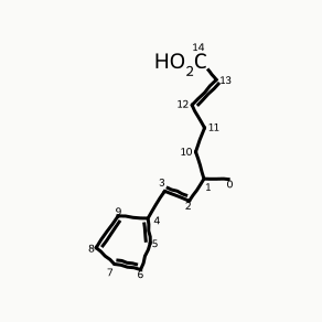 CC(C=Cc1ccccc1)CCC=CC(=O)O